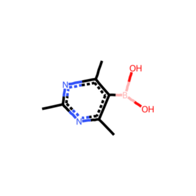 Cc1nc(C)c(B(O)O)c(C)n1